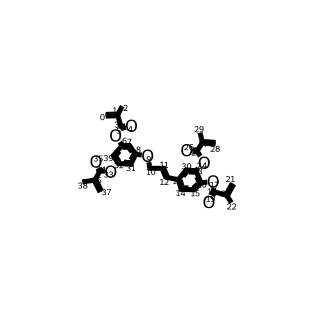 C=C(C)C(=O)Oc1cc(OC/C=C/c2ccc(OC(=O)C(=C)C)c(OC(=O)C(=C)C)c2)cc(OC(=O)C(=C)C)c1